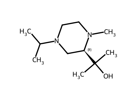 CC(C)N1CCN(C)[C@@H](C(C)(C)O)C1